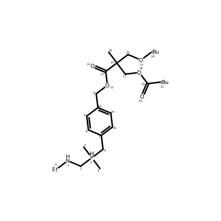 CCNC[PH](C)(C)Cc1ccc(COC(=O)C(C)(COC(=O)C(C)CC)COC(C)CC)cc1